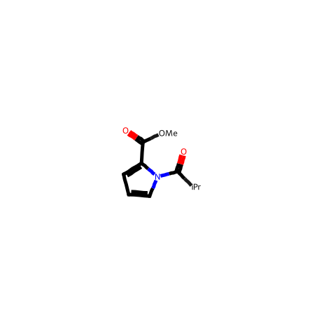 COC(=O)c1cccn1C(=O)C(C)C